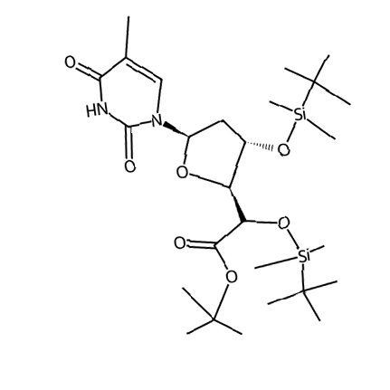 Cc1cn([C@H]2C[C@H](O[Si](C)(C)C(C)(C)C)[C@@H](C(O[Si](C)(C)C(C)(C)C)C(=O)OC(C)(C)C)O2)c(=O)[nH]c1=O